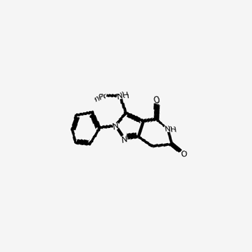 CCCNc1c2c(nn1-c1ccccc1)CC(=O)NC2=O